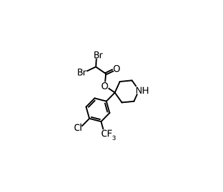 O=C(OC1(c2ccc(Cl)c(C(F)(F)F)c2)CCNCC1)C(Br)Br